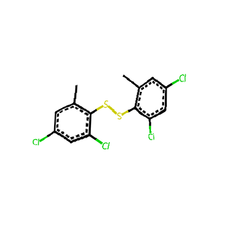 Cc1cc(Cl)cc(Cl)c1SSc1c(C)cc(Cl)cc1Cl